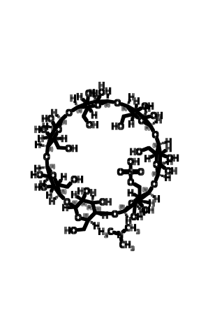 CN(C)C.O=S(=O)(O)OC[C@H]1O[C@@H]2O[C@H]3[C@H](O)[C@@H](O)[C@@H](O[C@H]4[C@H](O)[C@@H](O)[C@@H](O[C@H]5[C@H](O)[C@@H](O)[C@@H](O[C@H]6[C@H](O)[C@@H](O)[C@@H](O[C@H]7[C@H](O)[C@@H](O)[C@@H](O[C@H]8[C@H](O)[C@@H](O)[C@@H](O[C@H]1[C@H](O)[C@H]2O)O[C@@H]8CO)O[C@@H]7CO)O[C@@H]6CO)O[C@@H]5CO)O[C@@H]4CO)O[C@@H]3CO